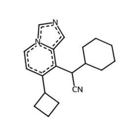 N#CC(c1c(C2CCC2)ccn2cncc12)C1CCCCC1